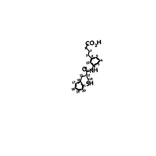 O=C(O)CCCc1cccc(NC(=O)[C@@H](CS)Cc2ccccc2)c1